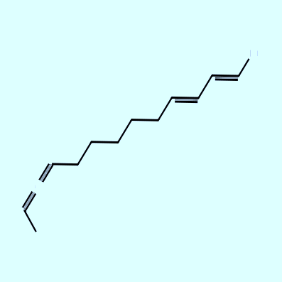 CC=C=CCCCCCC=CC=CCC